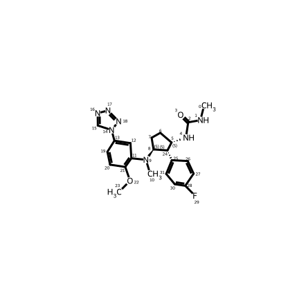 CNC(=O)N[C@H]1CC[C@H](N(C)c2cc(-n3cnnn3)ccc2OC)[C@H]1c1ccc(F)cc1